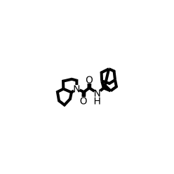 O=C(NC1C2CC3CC(C2)CC1C3)C(=O)N1CCCC2CCCCC21